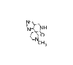 CN1CCCC2(C1)C(=O)NCc1cncnc12